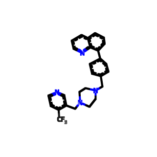 FC(F)(F)c1ccncc1CN1CCN(Cc2ccc(-c3cccc4cccnc34)cc2)CC1